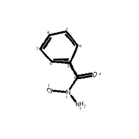 NN(Cl)C(=O)c1ccccc1